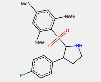 CNc1cc(NC)c(S(=O)(=O)C2NCCC2c2ccc(F)cc2)c(NC)c1